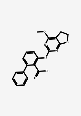 COc1nc(Oc2cccc(-c3ccccc3)c2C(=O)O)nc2c1CCO2